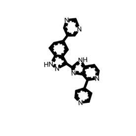 c1cc(-c2nccc3[nH]c(-c4n[nH]c5ccc(-c6cncnc6)cc45)nc23)ccn1